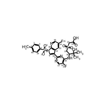 Cc1ccc(S(=O)(=O)n2cc(-c3ncc(F)c(NC(CS(=O)(=O)CC(=O)O)C(C)(C)C)n3)c3cc(F)cnc32)cc1